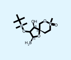 B[C@@H]1O[C@]2(CCP(C)(=O)OC2)[C@H](O)C1O[Si](C)(C)C(C)(C)C